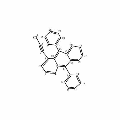 ClC#Cc1cccc2c(-c3ccccc3)c3ccccc3c(-c3ccccc3)c12